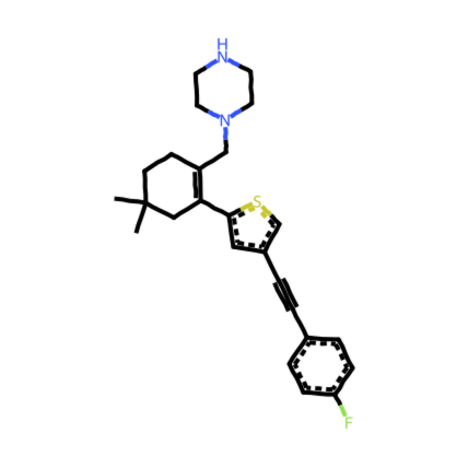 CC1(C)CCC(CN2CCNCC2)=C(c2cc(C#Cc3ccc(F)cc3)cs2)C1